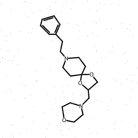 c1ccc(CCN2CCC3(CC2)OCC(CN2CCOCC2)O3)cc1